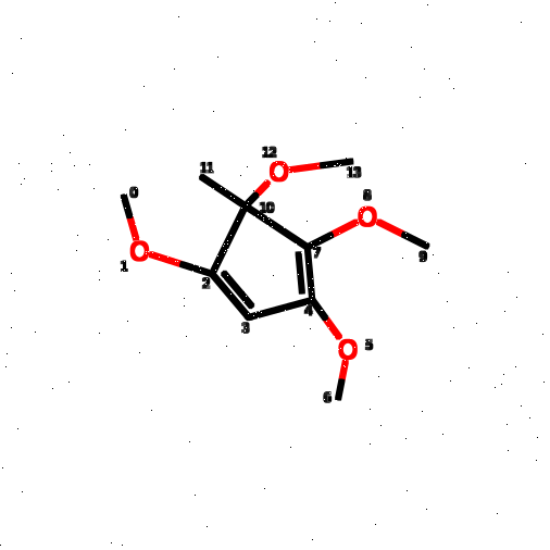 COC1=CC(OC)=C(OC)C1(C)OC